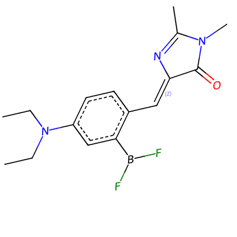 CCN(CC)c1ccc(/C=C2\N=C(C)N(C)C2=O)c(B(F)F)c1